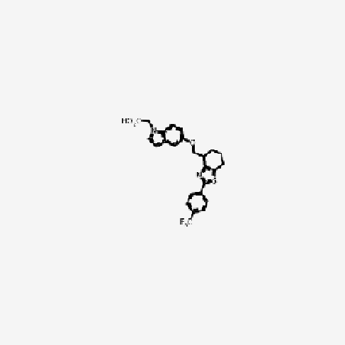 O=C(O)Cn1ccc2cc(OCC3CCCc4sc(-c5ccc(C(F)(F)F)cc5)nc43)ccc21